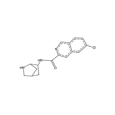 O=C(NC1CC2CNC1C2)c1cc2cc(Cl)ccc2cn1